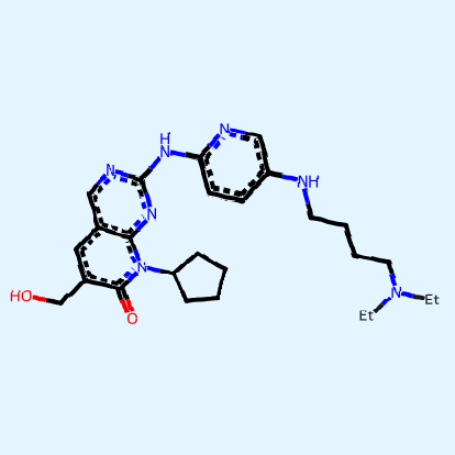 CCN(CC)CCCCNc1ccc(Nc2ncc3cc(CO)c(=O)n(C4CCCC4)c3n2)nc1